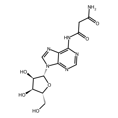 NC(=O)CC(=O)Nc1ncnc2c1ncn2[C@@H]1O[C@H](CO)[C@@H](O)[C@H]1O